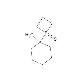 CC1(P2(=S)CCC2)CCCCC1